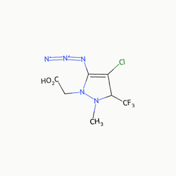 CN1C(C(F)(F)F)C(Cl)=C(N=[N+]=[N-])N1CC(=O)O